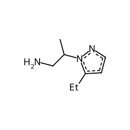 CCc1ccnn1C(C)CN